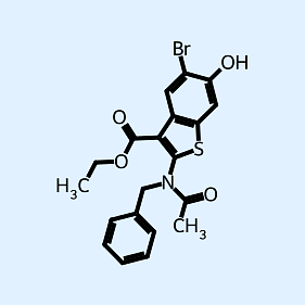 CCOC(=O)c1c(N(Cc2ccccc2)C(C)=O)sc2cc(O)c(Br)cc12